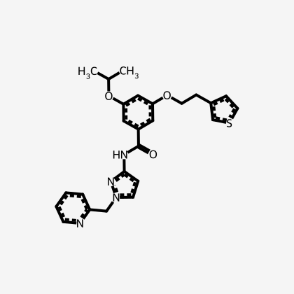 CC(C)Oc1cc(OCCc2ccsc2)cc(C(=O)Nc2ccn(Cc3ccccn3)n2)c1